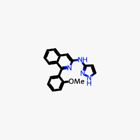 COc1ccccc1-c1nc(Nc2cc[nH]n2)cc2ccccc12